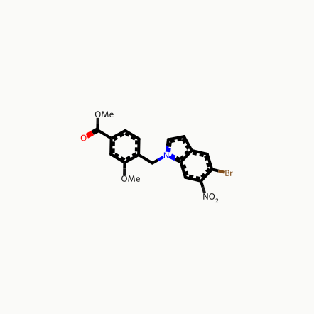 COC(=O)c1ccc(Cn2ccc3cc(Br)c([N+](=O)[O-])cc32)c(OC)c1